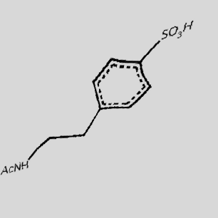 CC(=O)NCCc1ccc(S(=O)(=O)O)cc1